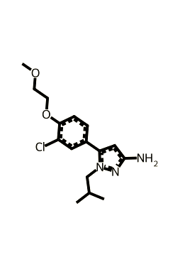 COCCOc1ccc(-c2cc(N)nn2CC(C)C)cc1Cl